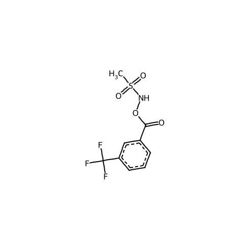 CS(=O)(=O)NOC(=O)c1cccc(C(F)(F)F)c1